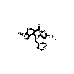 CCn1ncc2c1ncc1c(=O)n3nc(C)cc3n(CN3CCOSC3)c12